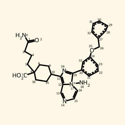 NC(=O)CCCC1(C(=O)O)CCC(C2=C3C=NC=C[N+]3(N)C(c3cccc(OCc4ccccc4)c3)=N2)CC1